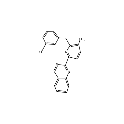 Cc1ccc(-c2ncc3ccccc3n2)nc1Cc1cccc(Cl)c1